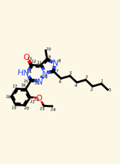 CCCCCCCc1nc(C)c2c(=O)[nH]c(-c3ccccc3OCC)nn12